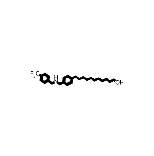 OCCCCCCCCCCCc1ccc(CNCc2ccc(C(F)(F)F)cc2)cc1